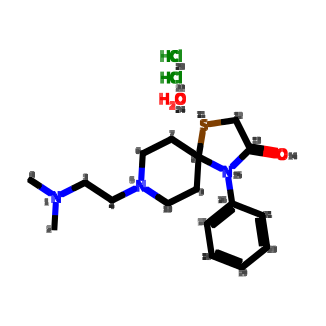 CN(C)CCN1CCC2(CC1)SCC(=O)N2c1ccccc1.Cl.Cl.O